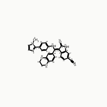 Cn1ccnc1-c1ccc(N/C(=C2\C(=O)Nc3cc(C#N)ccc32)c2ccc3c(c2)OCCO3)cc1